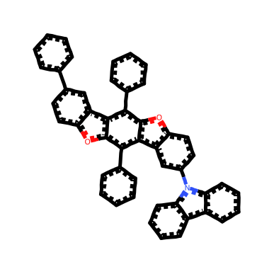 c1ccc(-c2ccc3oc4c(-c5ccccc5)c5c(oc6ccc(-n7c8ccccc8c8ccccc87)cc65)c(-c5ccccc5)c4c3c2)cc1